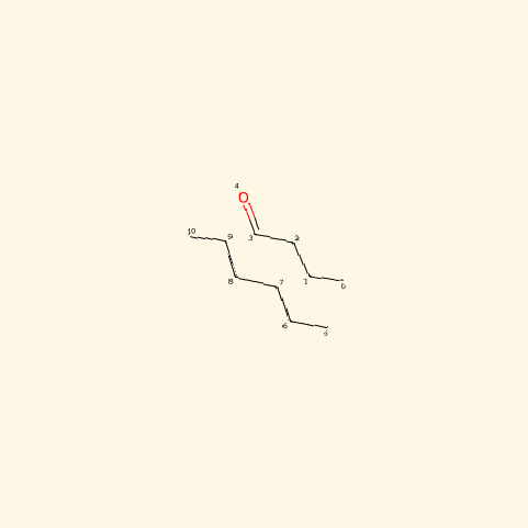 CCCC=O.CCCCCC